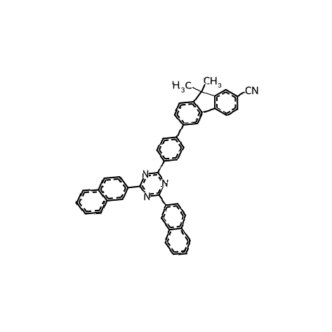 CC1(C)c2ccc(-c3ccc(-c4nc(-c5ccc6ccccc6c5)nc(-c5ccc6ccccc6c5)n4)cc3)cc2-c2ccc(C#N)cc21